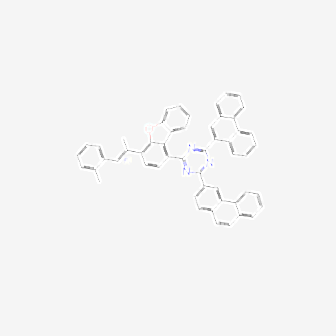 C/C(=C\c1ccccc1C)c1ccc(-c2nc(-c3ccc4ccc5ccccc5c4c3)nc(-c3cc4ccccc4c4ccccc34)n2)c2c1oc1ccccc12